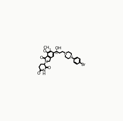 COc1cc([C@H](O)CCN2CCN(c3ccc(Br)cc3)CC2)cc2c1C(=O)N(C1CCC(=O)NC1=O)C2